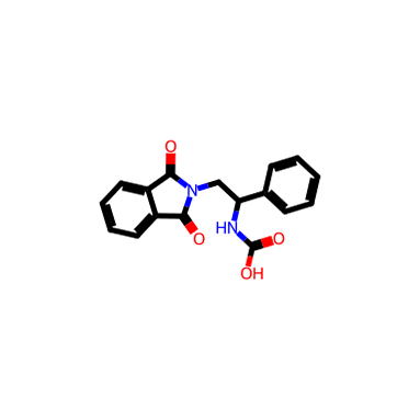 O=C(O)NC(CN1C(=O)c2ccccc2C1=O)c1ccccc1